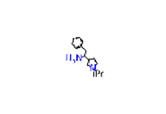 CC(C)N1CCC(C(N)Cc2ccccc2)C1